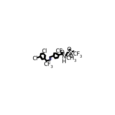 C[C@H](CS(=O)(=O)CC(F)(F)F)NC(=O)c1ccc(/C=C/C(c2cc(Cl)cc(Cl)c2)C(F)(F)F)cc1C(F)(F)F